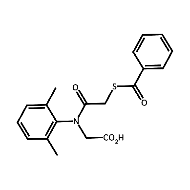 Cc1cccc(C)c1N(CC(=O)O)C(=O)CSC(=O)c1ccccc1